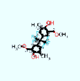 COCc1cc(C(c2cc(C)c(O)c(COC)c2)(C(F)(F)F)C(F)(F)F)cc(C)c1O